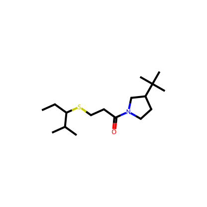 CCC(SCCC(=O)N1CCC(C(C)(C)C)C1)C(C)C